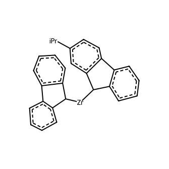 CC(C)c1ccc2c(c1)[CH]([Zr][CH]1c3ccccc3-c3ccccc31)c1ccccc1-2